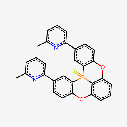 Cc1cccc(-c2ccc3c(c2)P2(=S)c4cc(-c5cccc(C)n5)ccc4Oc4cccc(c42)O3)n1